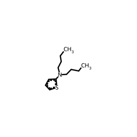 CCCCN(CCCC)c1cccs1